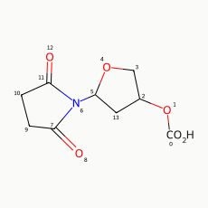 O=C(O)OC1COC(N2C(=O)CCC2=O)C1